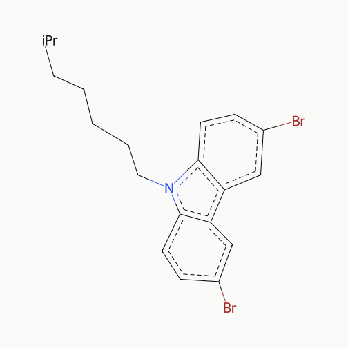 CC(C)CCCCCn1c2ccc(Br)cc2c2cc(Br)ccc21